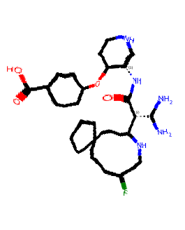 NC(N)[C@@H](C(=O)N[C@H]1CNCCC1OC1CCC(C(=O)O)CC1)C1CC2(CCCC2)CCC(F)CN1